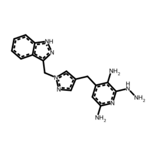 NNc1nc(N)cc(Cc2cnn(Cc3n[nH]c4ccccc34)c2)c1N